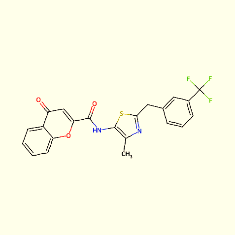 Cc1nc(Cc2cccc(C(F)(F)F)c2)sc1NC(=O)c1cc(=O)c2ccccc2o1